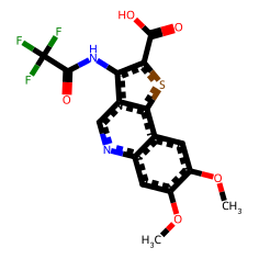 COc1cc2ncc3c(NC(=O)C(F)(F)F)c(C(=O)O)sc3c2cc1OC